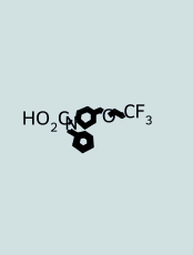 O=C(O)N(Cc1ccccc1)C1CCC(COCCC(F)(F)F)CC1